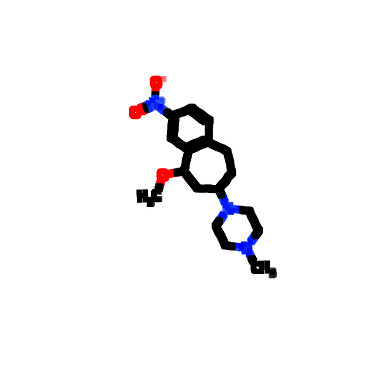 COC1CC(N2CCN(C)CC2)CCc2ccc([N+](=O)[O-])cc21